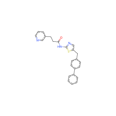 O=C(CCc1cccnc1)Nc1ncc(Cc2ccc(-c3ccccc3)cc2)s1